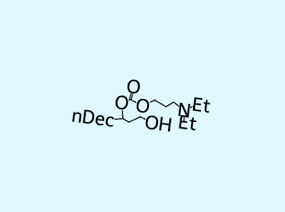 CCCCCCCCCCC(CCO)OC(=O)OCCCN(CC)CC